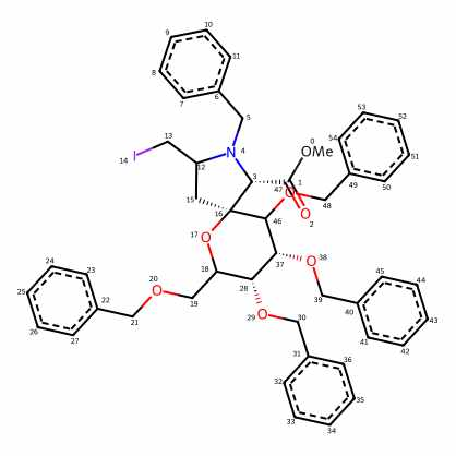 COC(=O)[C@H]1N(Cc2ccccc2)C(CI)C[C@]12OC(COCc1ccccc1)[C@@H](OCc1ccccc1)[C@@H](OCc1ccccc1)C2OCc1ccccc1